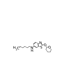 C=CCCCCNc1ccc2nc(OC3CCCCO3)sc2c1